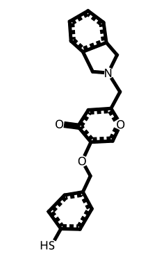 O=c1cc(CN2Cc3ccccc3C2)occ1OCc1ccc(S)cc1